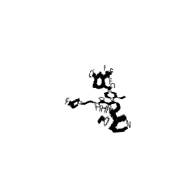 CCOC1(c2cccnc2)C=CC(N2CCN(C(=O)c3ccc(Cl)cc3C(F)(F)F)C[C@H]2CC)=C(C(=O)NCCN2CC(F)C2)N1